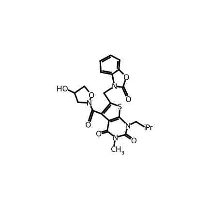 CC(C)Cn1c(=O)n(C)c(=O)c2c(C(=O)N3CC(O)CO3)c(Cn3c(=O)oc4ccccc43)sc21